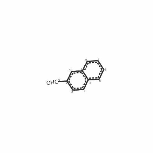 O=Cc1[c]cc2ccccc2c1